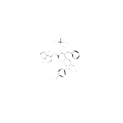 CC(C)CN(C[C@@H](O)[C@H](Cc1ccccc1)NC(=O)O[C@H]1CO[C@H]2OCC[C@H]21)S(=O)(=O)c1ccc(N)cc1.CCC(C)(C)O